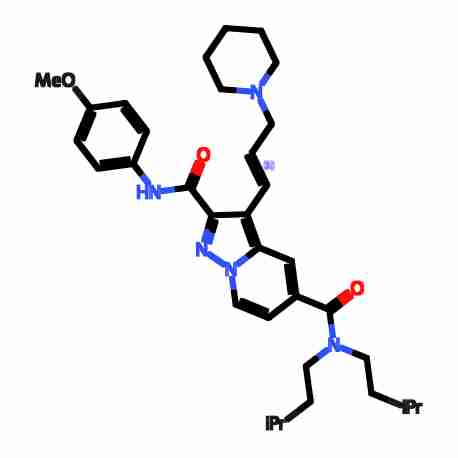 COc1ccc(NC(=O)c2nn3ccc(C(=O)N(CCC(C)C)CCC(C)C)cc3c2/C=C/CN2CCCCC2)cc1